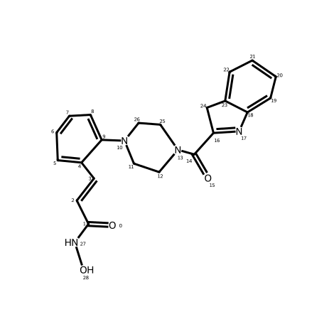 O=C(/C=C/c1ccccc1N1CCN(C(=O)C2=Nc3ccccc3C2)CC1)NO